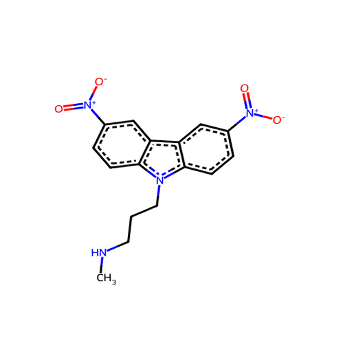 CNCCCn1c2ccc([N+](=O)[O-])cc2c2cc([N+](=O)[O-])ccc21